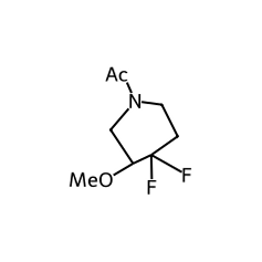 COC1CN(C(C)=O)CCC1(F)F